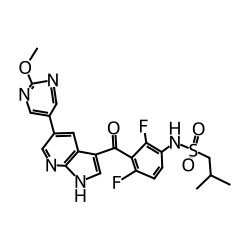 COc1ncc(-c2cnc3[nH]cc(C(=O)c4c(F)ccc(NS(=O)(=O)CC(C)C)c4F)c3c2)cn1